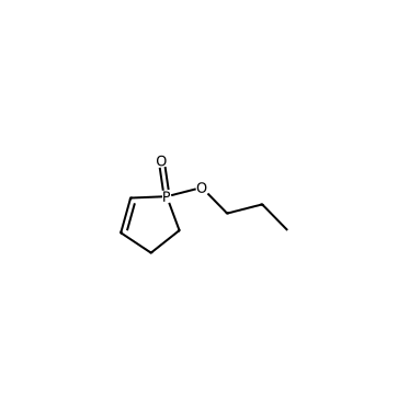 CCCOP1(=O)C=CCC1